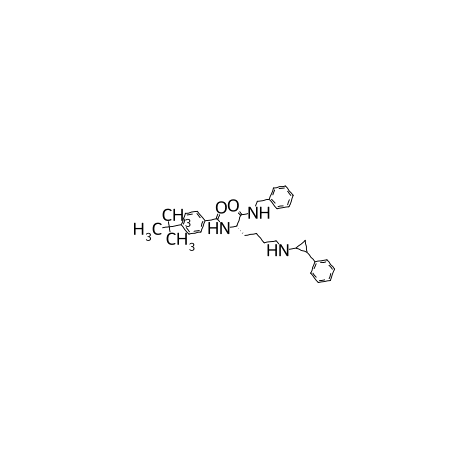 CC(C)(C)c1ccc(C(=O)N[C@@H](CCCCNC2CC2c2ccccc2)C(=O)NCc2ccccc2)cc1